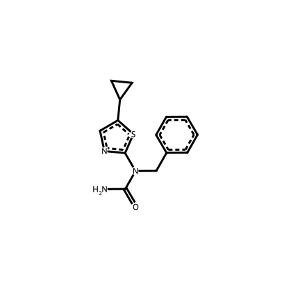 NC(=O)N(Cc1ccccc1)c1ncc(C2CC2)s1